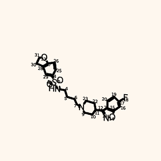 O=S(=O)(NCCCCN1CCC(c2noc3cc(F)ccc23)CC1)c1ccc2c(c1)CCO2